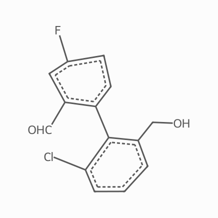 O=Cc1cc(F)ccc1-c1c(Cl)cccc1CO